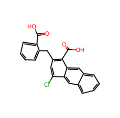 O=C(O)c1ccccc1Cc1cc(Cl)c2cc3ccccc3cc2c1C(=O)O